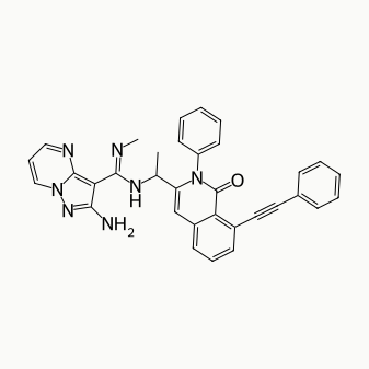 CN=C(NC(C)c1cc2cccc(C#Cc3ccccc3)c2c(=O)n1-c1ccccc1)c1c(N)nn2cccnc12